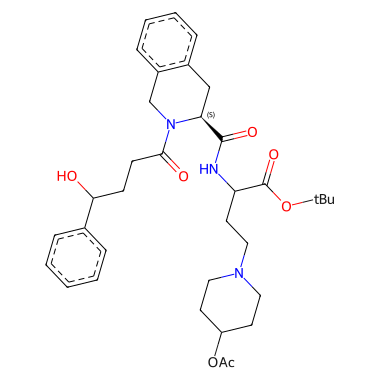 CC(=O)OC1CCN(CCC(NC(=O)[C@@H]2Cc3ccccc3CN2C(=O)CCC(O)c2ccccc2)C(=O)OC(C)(C)C)CC1